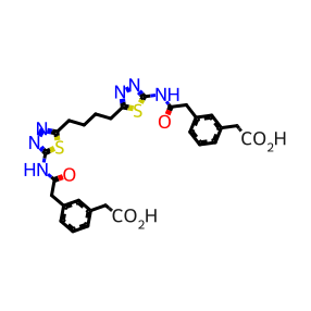 O=C(O)Cc1cccc(CC(=O)Nc2nnc(CCCCc3nnc(NC(=O)Cc4cccc(CC(=O)O)c4)s3)s2)c1